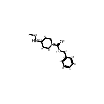 CSNC1CCN(C(=O)OCc2ccccc2)CC1